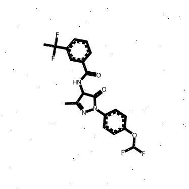 CC1=NN(c2ccc(OC(F)F)cc2)C(=O)C1NC(=O)c1cccc(C(C)(F)F)c1